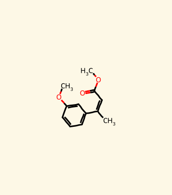 COC(=O)/C=C(/C)c1cccc(OC)c1